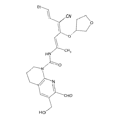 CC/C=C/C(C#N)=C(\C=C(/C)NC(=O)N1CCCc2cc(CO)c(C=O)nc21)OC1CCOC1